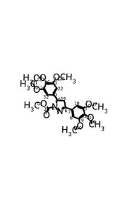 COC(=O)N1N=C(c2cc(OC)c(OC)c(OC)c2)CC1c1cc(OC)c(OC)c(OC)c1